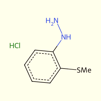 CSc1ccccc1NN.Cl